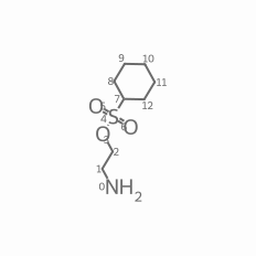 NCCOS(=O)(=O)C1CCCCC1